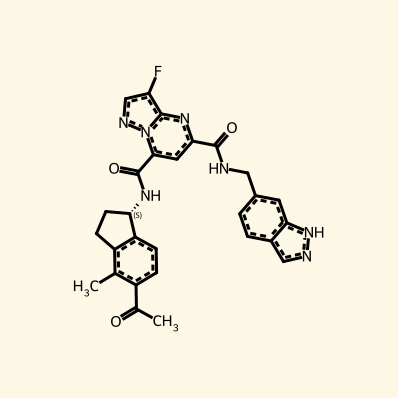 CC(=O)c1ccc2c(c1C)CC[C@@H]2NC(=O)c1cc(C(=O)NCc2ccc3cn[nH]c3c2)nc2c(F)cnn12